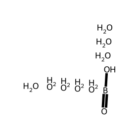 O.O.O.O.O.O.O.O.O=BO